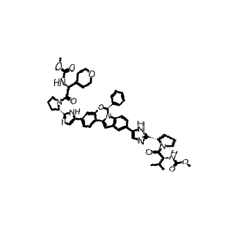 COC(=O)N[C@H](C(=O)N1CCC[C@H]1c1ncc(-c2ccc3c(c2)cc2n3[C@H](c3ccccc3)Oc3cc(-c4cnc([C@@H]5CCCN5C(=O)[C@@H](NC(=O)OC)C5CCOCC5)[nH]4)ccc3-2)[nH]1)C(C)C